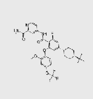 COc1cc(OC(F)(F)F)ccc1Oc1cc([C@H]2CC[C@H](C(C)(C)C)CC2)cc(F)c1C(=O)Nc1ccnc(C(N)=O)c1